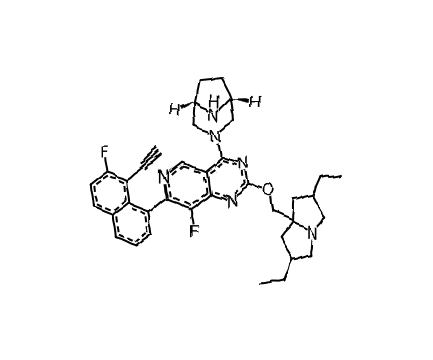 C#Cc1c(F)ccc2cccc(-c3ncc4c(N5C[C@H]6CC[C@@H](C5)N6)nc(OCC56CC(CC)CN5CC(CC)C6)nc4c3F)c12